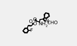 N[C@@H](Cc1cn(C=O)c2ccccc12)C(=O)OC(=O)C=Cc1ccccc1F